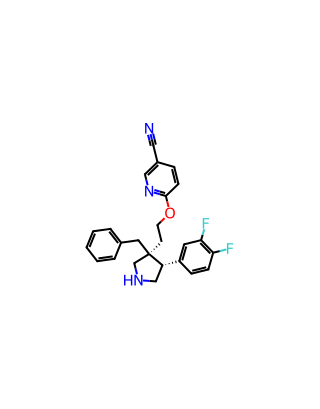 N#Cc1ccc(OCC[C@@]2(Cc3ccccc3)CNC[C@H]2c2ccc(F)c(F)c2)nc1